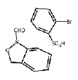 O=CN1OCc2ccccc21.O=S(=O)(O)c1ccccc1Br